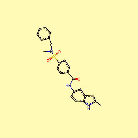 Cc1cc2cc(NC(=O)c3ccc(S(=O)(=O)N(C)Cc4ccccc4)cc3)ccc2[nH]1